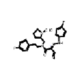 N=C/C(=N\Nc1ccc(F)cc1)C(=O)N(CCc1ccc(F)cc1)CC1CCCN1C=O